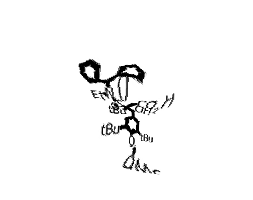 CCN(C(c1ccccc1)c1ccccc1)S(=O)(=O)C(CC(=O)O)(C(O)c1cc(C(C)(C)C)c(OCOC)c(C(C)(C)C)c1)C(C)(C)C